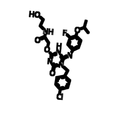 CC(C)Oc1ccc(/N=c2\[nH]c(OCC(=O)NCCO)nc(=O)n2Cc2ccc(Cl)cc2)cc1F